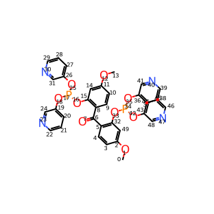 COc1ccc(C(=O)c2ccc(OC)cc2OP(Oc2cccnc2)Oc2cccnc2)c(OP(Oc2cccnc2)Oc2cccnc2)c1